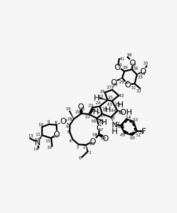 CC[C@H]1CCC[C@H](O[C@H]2CC[C@H](N(C)C)C(C)O2)[C@@H](C)C(=O)C2=C[C@H]3[C@@H]4C[C@H](O[C@@H]5OC(C)[C@H](OC)C(OC)C5OC)C[C@H]4[C@@H](O)[C@H](Nc4ccc(F)cc4)[C@H]3[C@@H]2CC(=O)O1